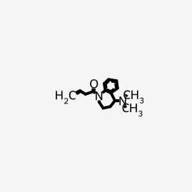 C=CCC(=O)N1CCCC(N(C)C)c2ccccc21